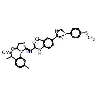 COC(C)c1ccc(C)cc1N1C(=O)CS/C1=N\C(=O)Nc1ccc(-c2ncn(-c3ccc(SC(F)(F)F)cc3)n2)cc1Cl